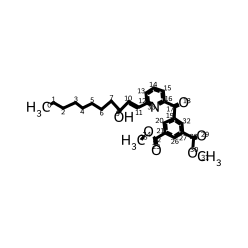 CCCCCCCC[C@H](O)/C=C/c1cccc(C(=O)c2cc(C(=O)OC)cc(C(=O)OC)c2)n1